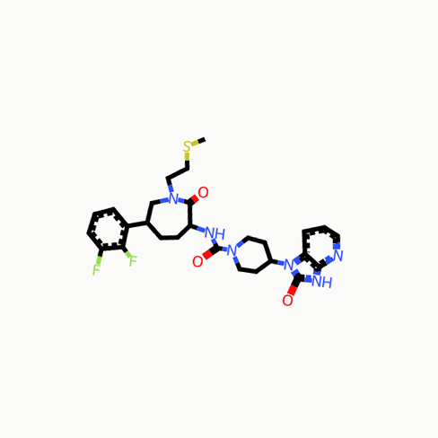 CSCCN1CC(c2cccc(F)c2F)CCC(NC(=O)N2CCC(n3c(=O)[nH]c4ncccc43)CC2)C1=O